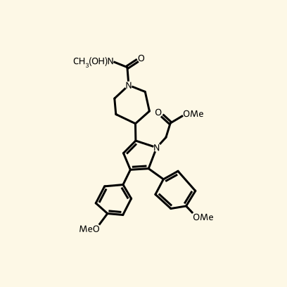 COC(=O)Cn1c(C2CCN(C(=O)N(C)O)CC2)cc(-c2ccc(OC)cc2)c1-c1ccc(OC)cc1